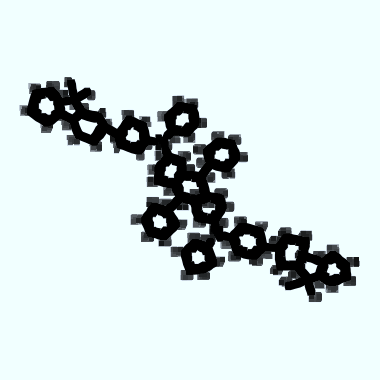 CC1(C)C2=CC(c3ccc(N(c4ccccc4)c4ccc5c(-c6ccccc6)c6cc(N(c7ccccc7)c7ccc(-c8ccc9c(c8)C(C)(C)c8ccccc8-9)cc7)ccc6c(-c6ccccc6)c5c4)cc3)=CCC2c2ccccc21